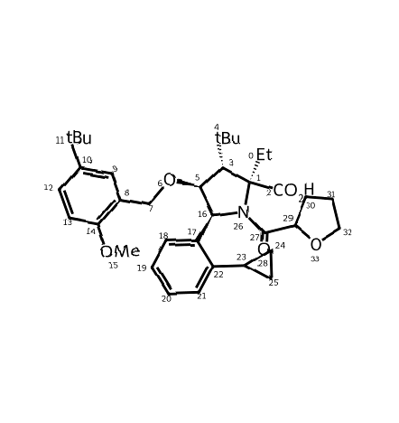 CC[C@@]1(C(=O)O)[C@@H](C(C)(C)C)[C@H](OCc2cc(C(C)(C)C)ccc2OC)[C@H](c2ccccc2C2CC2)N1C(=O)C1CCCO1